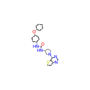 O=C(Nc1ccc(Oc2ccccc2)cc1)NC1CCN(c2ncnc3ccsc23)C1